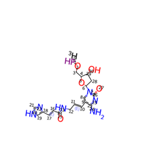 [3H]POCC1OC(n2cc(/C=C/CNC(=O)/C=C/c3c[nH]cn3)c(N)nc2=O)CC1O